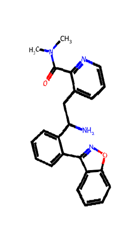 CN(C)C(=O)c1ncccc1CC(N)c1ccccc1-c1noc2ccccc12